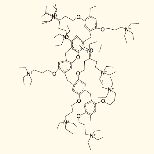 CCc1cc(OCCC[N+](CC)(CC)CC)c(Cc2cc(OCCC[N+](CC)(CC)CC)c(Cc3cc(OCCC[N+](CC)(CC)CC)c(Cc4cc(OCCC[N+](CC)(CC)CC)c(Cc5cc(OCCC[N+](CC)(CC)CC)c(C)cc5OCCC[N+](CC)(CC)CC)cc4OCCC[N+](CC)(CC)CC)cc3OCCC[N+](CC)(CC)CC)cc2OCCC[N+](CC)(CC)CC)cc1OCCC[N+](CC)(CC)CC